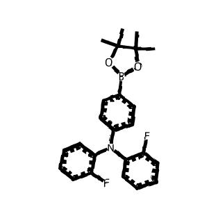 CC1(C)OB(c2ccc(N(c3ccccc3F)c3ccccc3F)cc2)OC1(C)C